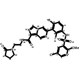 COc1ncc(Cl)cc1S(=O)(=O)Nc1ccc(F)c(-c2cn3cnc(C(=O)NCCN4CCCC4=O)c3cn2)c1F